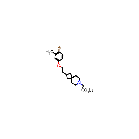 CCOC(=O)CN1CCC2(CC1)CC(CCOc1ccc(Br)c(C)c1)C2